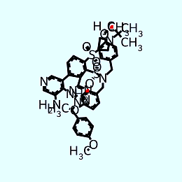 COc1ccc(CN(Cc2ccc(OC)cc2)S(=O)(=O)c2c(S(=O)(=O)C3CN(C(C)(C)C)C3)ccc(-c3cncc(N)c3N)c2-c2nnn(Cc3ccc(OC)cc3)n2)cc1